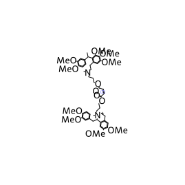 COc1ccc(CC2c3cc(OC)c(OC)cc3CC[N+]2(C)CCCOC(=O)/C=C\C(=O)OCCCN(C)CCc2cc(OC)c(OC)c(OC)c2C(C)c2ccc(OC)c(OC)c2)cc1OC